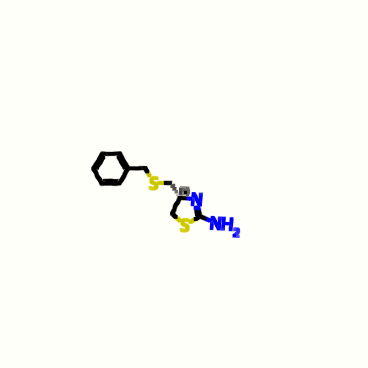 NC1=N[C@@H](CSCc2ccccc2)CS1